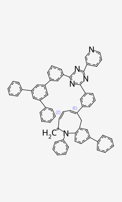 C=C1/C=C\C=C(\c2cccc(-c3nc(-c4cccnc4)nc(-c4cccc(-c5cc(-c6ccccc6)cc(-c6ccccc6)c5)c4)n3)c2)Cc2cc(-c3ccccc3)ccc2N1c1ccccc1